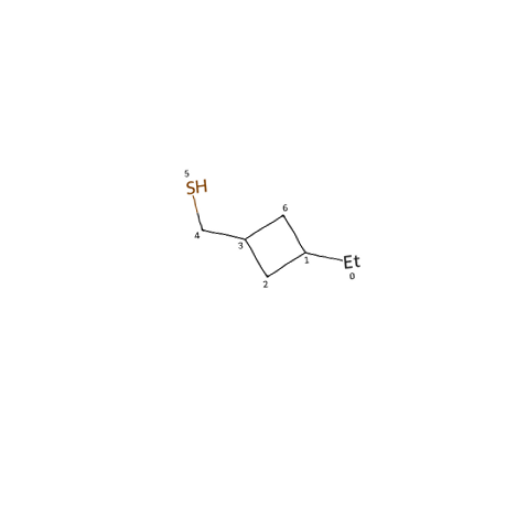 CCC1CC(CS)C1